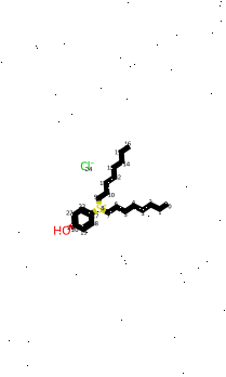 CCCCCCCC[S+](CCCCCCCC)c1ccc(O)cc1.[Cl-]